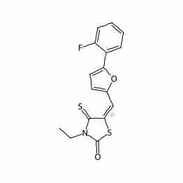 CCN1C(=O)S/C(=C/c2ccc(-c3ccccc3F)o2)C1=S